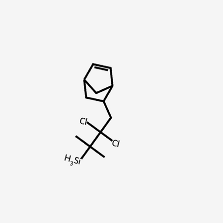 CC(C)([SiH3])C(Cl)(Cl)CC1CC2C=CC1C2